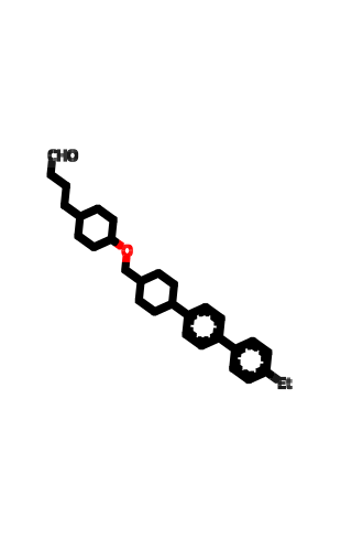 CCc1ccc(-c2ccc(C3CCC(COC4CCC(CCCC=O)CC4)CC3)cc2)cc1